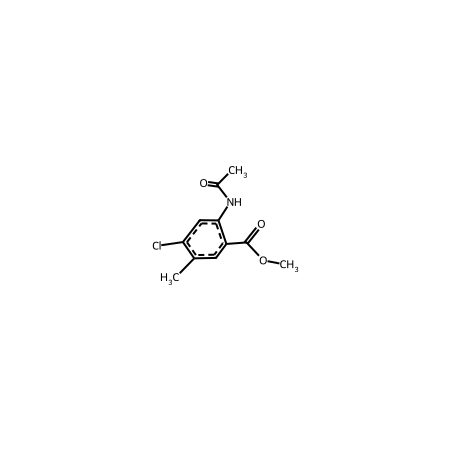 COC(=O)c1cc(C)c(Cl)cc1NC(C)=O